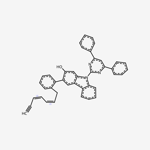 C#C/C=C\C=C/Cc1ccccc1-c1cc2c3ccccc3n(-c3nc(-c4ccccc4)cc(-c4ccccc4)n3)c2cc1O